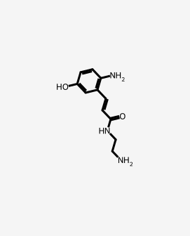 NCCNC(=O)C=Cc1cc(O)ccc1N